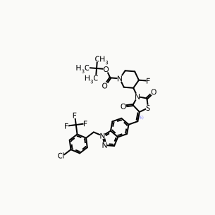 CC(C)(C)OC(=O)N1CCC(F)C(N2C(=O)S/C(=C/c3ccc4c(cnn4Cc4ccc(Cl)cc4C(F)(F)F)c3)C2=O)C1